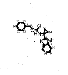 O=C(NC1(c2nc3cnccc3[nH]2)CC1)OCc1ccccc1